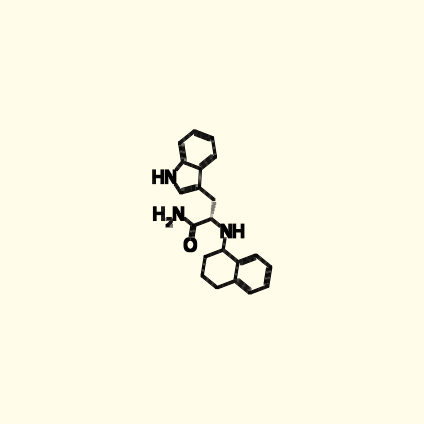 NC(=O)[C@H](Cc1c[nH]c2ccccc12)NC1CCCc2ccccc21